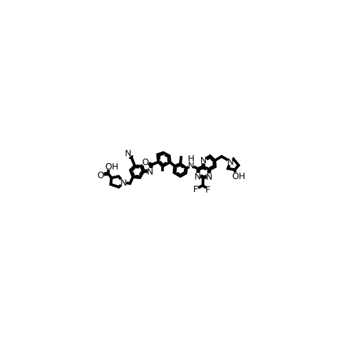 Cc1c(Nc2nc(C(F)F)nc3cc(CN4CCC(O)C4)cnc23)cccc1-c1cccc(-c2nc3cc(CN4CCC(C(=O)O)C4)cc(C#N)c3o2)c1C